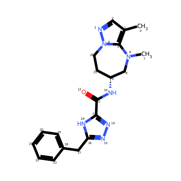 Cc1cnn2c1N(C)C[C@H](NC(=O)c1nnc(Cc3ccccc3)[nH]1)CC2